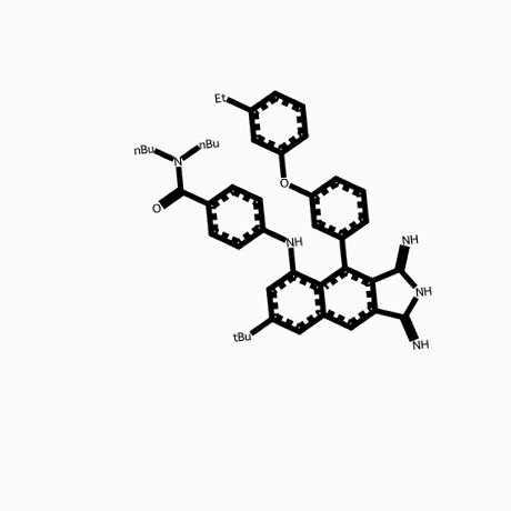 CCCCN(CCCC)C(=O)c1ccc(Nc2cc(C(C)(C)C)cc3cc4c(c(-c5cccc(Oc6cccc(CC)c6)c5)c23)C(=N)NC4=N)cc1